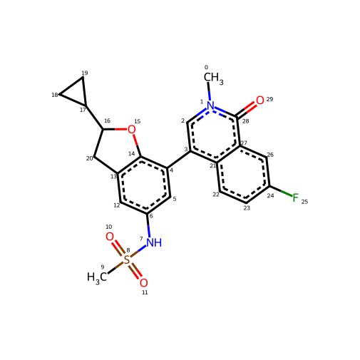 Cn1cc(-c2cc(NS(C)(=O)=O)cc3c2OC(C2CC2)C3)c2ccc(F)cc2c1=O